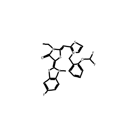 CCn1c(=O)/c(=C2\Sc3cc(F)ccc3N2C)s/c1=C\c1scc[n+]1Cc1ccccc1OC(F)F